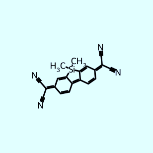 C[Si]1(C)c2cc(=C(C#N)C#N)ccc2=c2ccc(=C(C#N)C#N)cc21